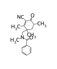 CC1=C(C#N)C(=O)C(C)CC1(C)CN(C)C(=O)c1ccccc1